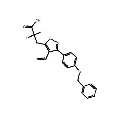 C=Cc1c(-c2ccc(OCc3ccccc3)cc2)noc1CC(F)(F)C(=O)O